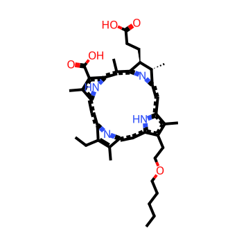 CCCCCOCCc1c(C)c2cc3nc(c(C)c4[nH]c(cc5nc(cc1[nH]2)C(C)=C5CC)c(C)c4C(=O)O)[C@@H](CCC(=O)O)[C@@H]3C